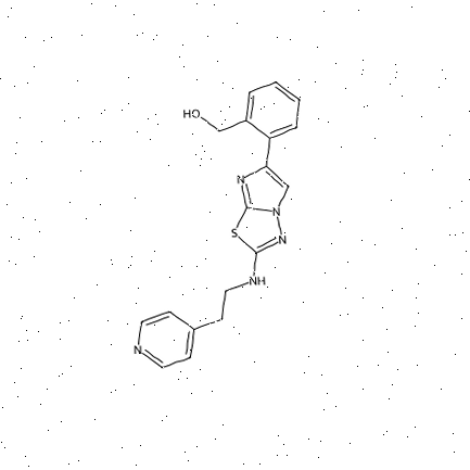 OCc1ccccc1-c1cn2nc(NCCc3ccncc3)sc2n1